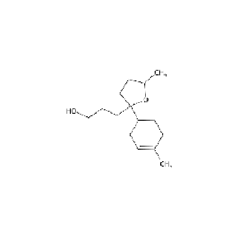 CC1=CCC(C2(CCCO)CCC(C)O2)CC1